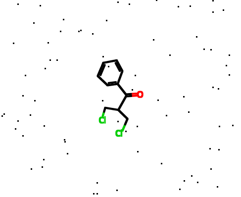 O=C(c1ccccc1)C(CCl)CCl